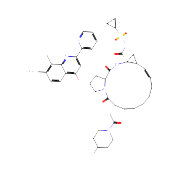 COc1ccc2c(O[C@@H]3C[C@H]4C(=O)N[C@]5(C(=O)NS(=O)(=O)C6CC6)CC5/C=C\CCCCC[C@H](CC(=O)N5CCC(C(F)(F)F)CC5)C(=O)N4C3)cc(-c3ccccn3)nc2c1C